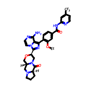 CCOc1cc(C(=O)Nc2cc(C(F)(F)F)ccn2)ccc1-c1nc([C@H]2CN3C(=O)[C@H]4CCCN4C[C@@H]3CO2)n2ccnc(N)c12